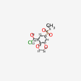 CCS(=O)(=O)c1cc2c(c(C(=O)Cl)c1)OCCO2